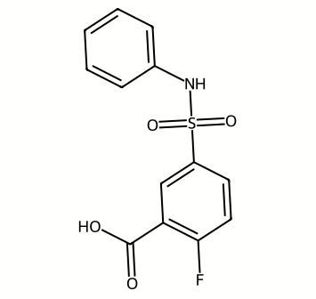 O=C(O)c1cc(S(=O)(=O)Nc2ccccc2)ccc1F